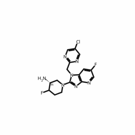 N[C@@H]1CN(c2nc3ncc(F)cc3n2Cc2ncc(Cl)cn2)CCC1F